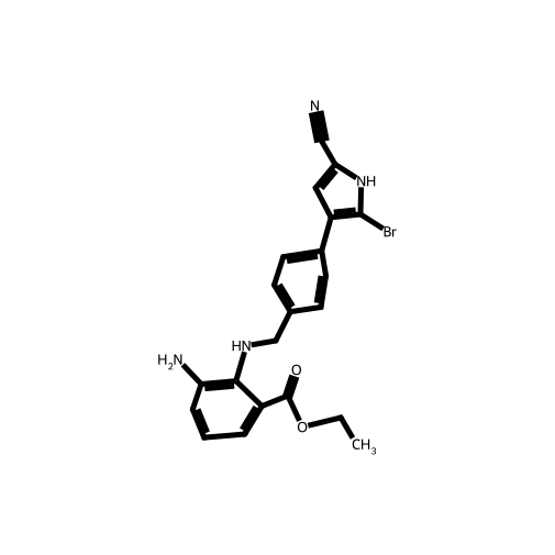 CCOC(=O)c1cccc(N)c1NCc1ccc(-c2cc(C#N)[nH]c2Br)cc1